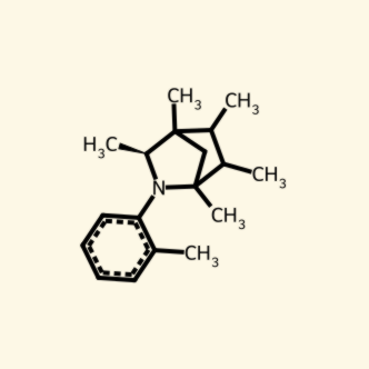 Cc1ccccc1N1[C@@H](C)C2(C)CC1(C)C(C)C2C